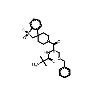 CC(C)(N)C(=O)N[C@H](COCc1ccccc1)C(=O)N1CCC2(CC1)CS(=O)(=O)c1ccccc12